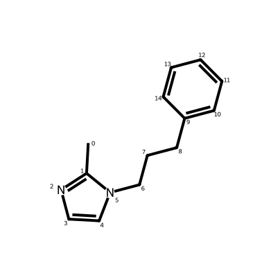 Cc1nccn1CCCc1ccccc1